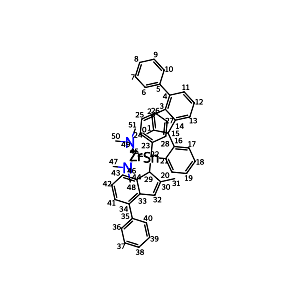 CC1=Cc2c(-c3ccccc3)cccc2C1c1cccc[c]1[Sn]([c]1ccccc1)([CH]1C(C)=Cc2c(-c3ccccc3)cccc21)[Zr]([N](C)C)[N](C)C